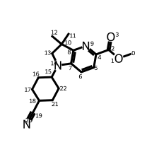 COC(=O)c1ccc2c(n1)C(C)(C)CN2C1CCC(C#N)CC1